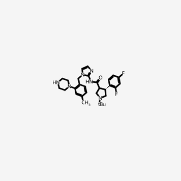 Cc1ccc(Cn2ccnc2NC(=O)C2CN(C(C)(C)C)C[C@H]2c2ccc(F)cc2F)c(N2CCNCC2)c1